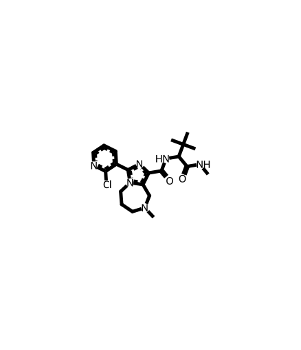 CNC(=O)C(NC(=O)c1nc(-c2cccnc2Cl)n2c1CN(C)CCC2)C(C)(C)C